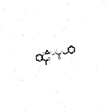 CC(=O)c1ccccc1[C@H]1C[C@@H]1CNC(=O)OCc1ccccc1